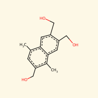 Cc1cc(CO)c(C)c2cc(CO)c(CO)cc12